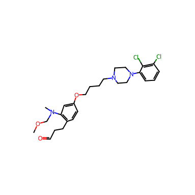 COCN(C)c1cc(OCCCCN2CCN(c3cccc(Cl)c3Cl)CC2)ccc1CCC=O